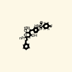 CCCC1(CCc2ccccc2)CC(O)=C(C(c2cccc(NS(=O)(=O)c3ccc(F)cc3)c2)C(C)(C)C)C(=O)O1